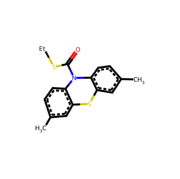 CCSC(=O)N1c2ccc(C)cc2Sc2cc(C)ccc21